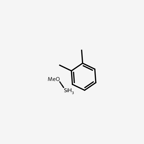 CO[SiH3].Cc1ccccc1C